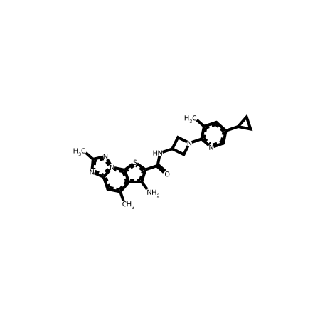 Cc1nc2cc(C)c3c(N)c(C(=O)NC4CN(c5ncc(C6CC6)cc5C)C4)sc3n2n1